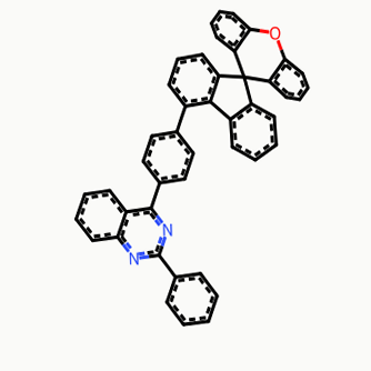 c1ccc(-c2nc(-c3ccc(-c4cccc5c4-c4ccccc4C54c5ccccc5Oc5ccccc54)cc3)c3ccccc3n2)cc1